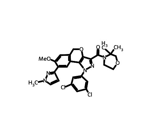 COc1cc2c(cc1-c1ccn(C)n1)-c1c(c(C(=O)N3CCOCC3(C)C)nn1-c1cc(Cl)cc(Cl)c1)OC2